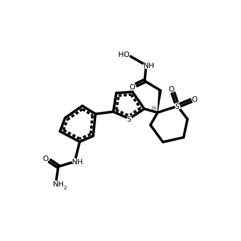 NC(=O)Nc1cccc(-c2ccc([C@@]3(CC(=O)NO)CCCCS3(=O)=O)s2)c1